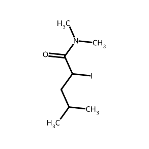 CC(C)CC(I)C(=O)N(C)C